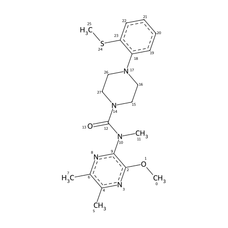 COc1nc(C)c(C)nc1N(C)C(=O)N1CCN(c2ccccc2SC)CC1